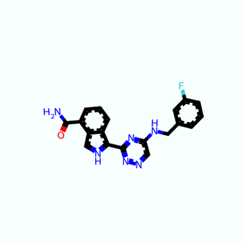 NC(=O)c1cccc2c(-c3nncc(NCc4cccc(F)c4)n3)[nH]cc12